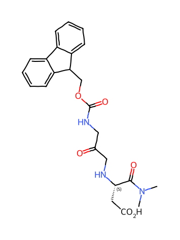 CN(C)C(=O)[C@H](CC(=O)O)NCC(=O)CNC(=O)OCC1c2ccccc2-c2ccccc21